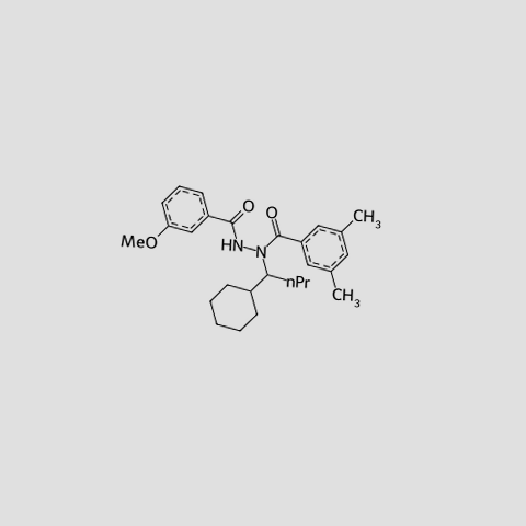 CCCC(C1CCCCC1)N(NC(=O)c1cccc(OC)c1)C(=O)c1cc(C)cc(C)c1